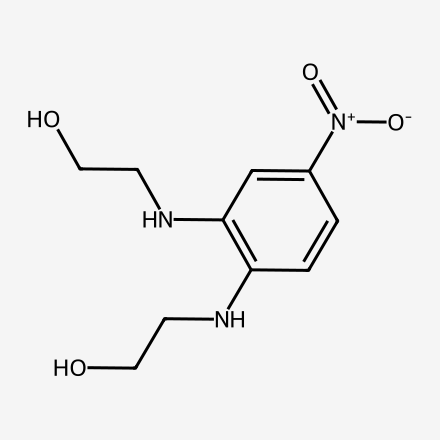 O=[N+]([O-])c1ccc(NCCO)c(NCCO)c1